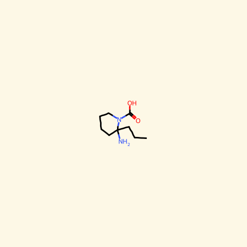 CCCC1(N)CCCCN1C(=O)O